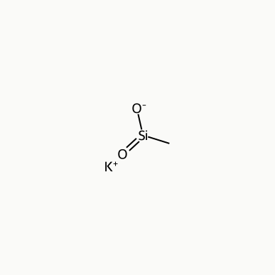 C[Si](=O)[O-].[K+]